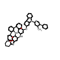 Cc1cc(-n2c3ccccc3c3ccc(Oc4cccc(Nc5cc6nc7n(c6cc5Nc5c(-c6ccccc6)cccc5-c5ccccc5)CCCC7)c4)cc32)ncc1-c1ccccc1